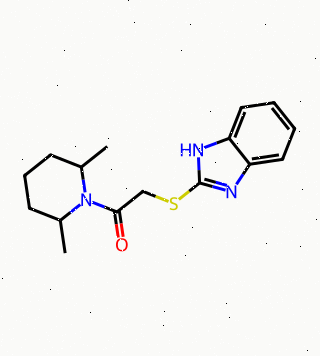 CC1CCCC(C)N1C(=O)CSc1nc2ccccc2[nH]1